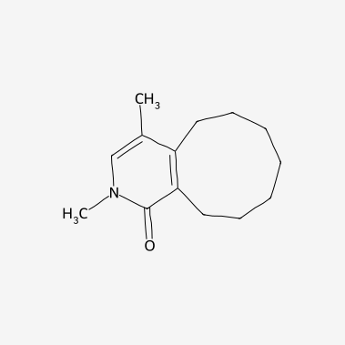 Cc1cn(C)c(=O)c2c1CCCCCCC2